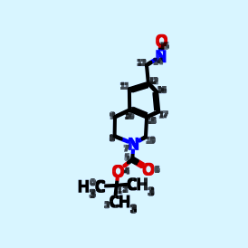 CC(C)(C)OC(=O)N1CCc2cc(CN=O)ccc2C1